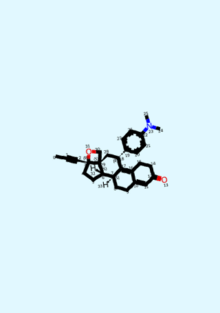 CC#C[C@]12CC[C@H]3[C@@H]4CCC5=CC(=O)CCC5=C4[C@@H](c4ccc(N(C)C)cc4)C[C@@]31CO2